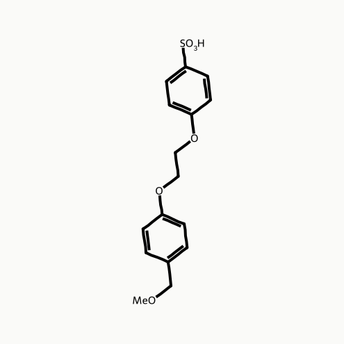 COCc1ccc(OCCOc2ccc(S(=O)(=O)O)cc2)cc1